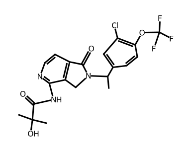 CC(c1ccc(OC(F)(F)F)c(Cl)c1)N1Cc2c(ccnc2NC(=O)C(C)(C)O)C1=O